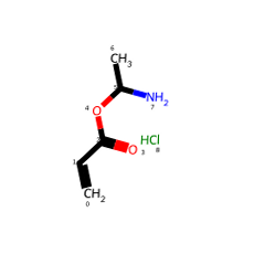 C=CC(=O)OC(C)N.Cl